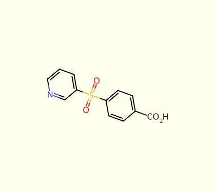 O=C(O)c1ccc(S(=O)(=O)c2cccnc2)cc1